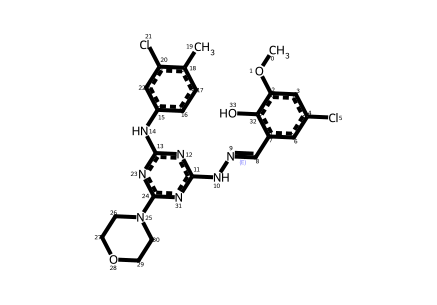 COc1cc(Cl)cc(/C=N/Nc2nc(Nc3ccc(C)c(Cl)c3)nc(N3CCOCC3)n2)c1O